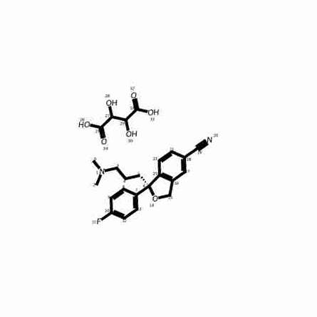 CN(C)CCC[C@@]1(c2ccc(F)cc2)OCc2cc(C#N)ccc21.O=C(O)C(O)C(O)C(=O)O